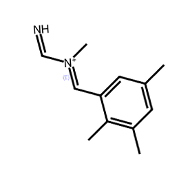 Cc1cc(C)c(C)c(/C=[N+](\C)C=N)c1